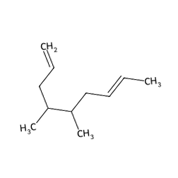 C=CCC(C)C(C)CC=CC